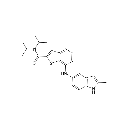 Cc1cc2cc(Nc3ccnc4cc(C(=O)N(C(C)C)C(C)C)sc34)ccc2[nH]1